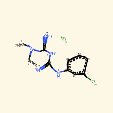 CCCCCCN(CCCCCC)C(=N)NC(=N)Nc1cccc(Cl)c1.Cl